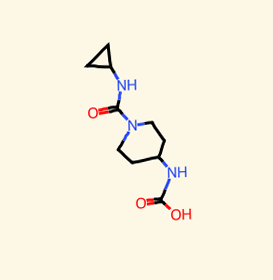 O=C(O)NC1CCN(C(=O)NC2CC2)CC1